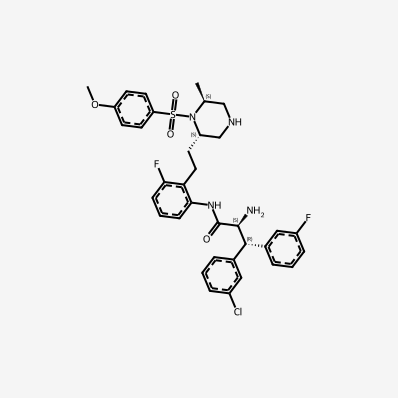 COc1ccc(S(=O)(=O)N2[C@@H](CCc3c(F)cccc3NC(=O)[C@@H](N)[C@H](c3cccc(F)c3)c3cccc(Cl)c3)CNC[C@@H]2C)cc1